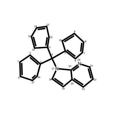 c1ccc(C(c2ccccc2)(c2ccccc2)n2ccc3cccnc32)cc1